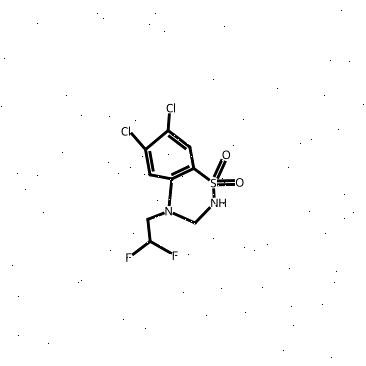 O=S1(=O)NCN(CC(F)F)c2cc(Cl)c(Cl)cc21